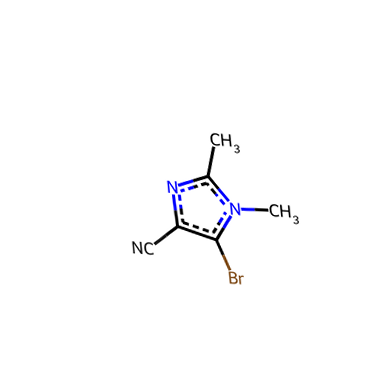 Cc1nc(C#N)c(Br)n1C